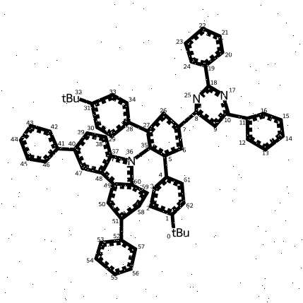 CC(C)(C)c1ccc(-c2cc(-c3cc(-c4ccccc4)nc(-c4ccccc4)n3)cc(-c3ccc(C(C)(C)C)cc3)c2-n2c3ccc(-c4ccccc4)cc3c3cc(-c4ccccc4)ccc32)cc1